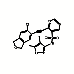 Cc1onc(NS(=O)(=O)c2cccnc2C#Cc2cc3c(cc2Cl)COC3)c1C